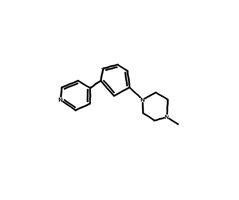 CN1CCN(c2cc[c]c(-c3ccncc3)c2)CC1